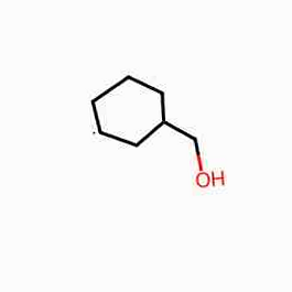 OCC1C[CH]CCC1